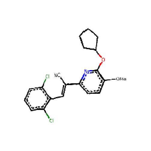 COc1ccc(C(C#N)=Cc2c(Cl)cccc2Cl)nc1OC1CCCC1